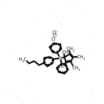 CCCCc1ccc([Si](c2ccccc2)(c2ccccc2)C2(C)C(C)=C(C)C(C)=[C]2[Ti+3])cc1.[Cl-].[Cl-].[Cl-]